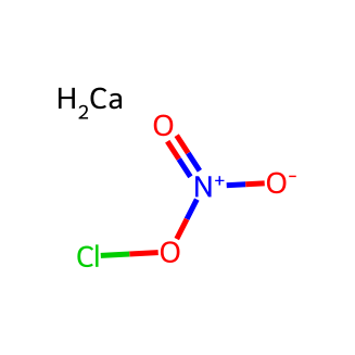 O=[N+]([O-])OCl.[CaH2]